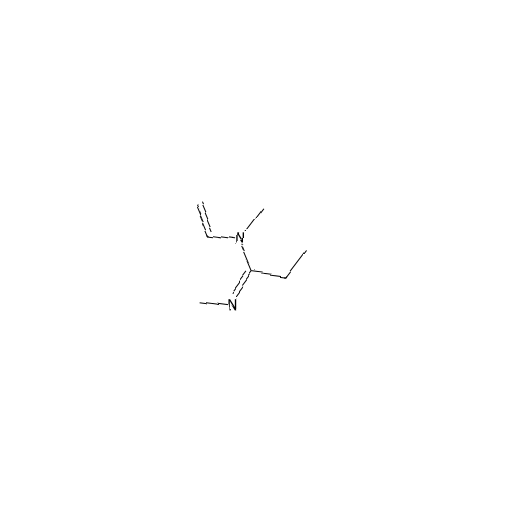 C=CN(C)/C(CC)=N\C